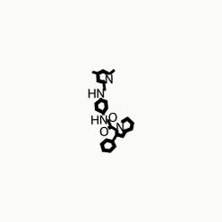 Cc1cc(C)nc(CNc2ccc(NC(=O)C(=O)c3c(-c4ccccc4)cc4ccccn34)cc2)c1